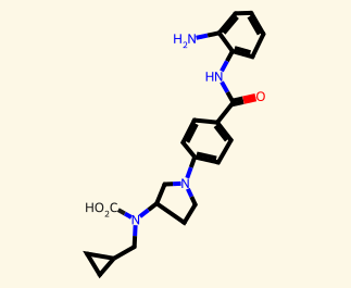 Nc1ccccc1NC(=O)c1ccc(N2CCC(N(CC3CC3)C(=O)O)C2)cc1